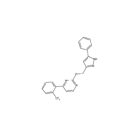 FC(F)(F)c1ccccc1-c1ccnc(OCc2cc(-c3ccccc3)[nH]n2)n1